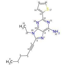 CCCCC#Cc1nc2c(N)nc(-c3cccs3)nc2n1CC